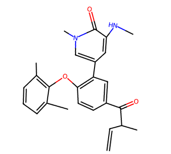 C=CC(C)C(=O)c1ccc(Oc2c(C)cccc2C)c(-c2cc(NC)c(=O)n(C)c2)c1